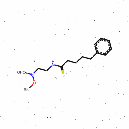 CC(C)(C)ON(C=O)CCNC(=S)CCCCc1ccccc1